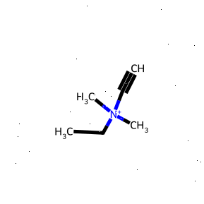 C#C[N+](C)(C)CC